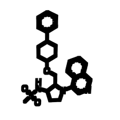 CS(=O)(=O)NC1CCN(c2cncc3ccccc23)C1COC1CCC(c2ccccc2)CC1